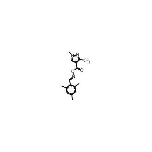 Cc1cc(C)c(/C=N/OC(=O)c2cn(C)nc2C(F)(F)F)c(C)c1